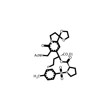 CCOC(=O)[C@@](CCF)(OC(=O)[C@H]1CCCN1S(=O)(=O)c1ccc(C)cc1)c1cc2n(c(=O)c1CNC(C)=O)CCC21OCCO1